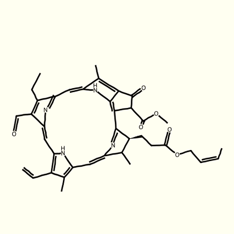 C=Cc1c(C)c2cc3nc(c4c5[nH]c(cc6nc(cc1[nH]2)C(C=O)=C6CC)c(C)c5C(=O)C4C(=O)OC)[C@@H](CCC(=O)OC/C=C\C)C3C